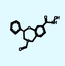 O=CN1Cc2ccc(C(=O)NO)cc2O[C@H](c2ccccc2)C1